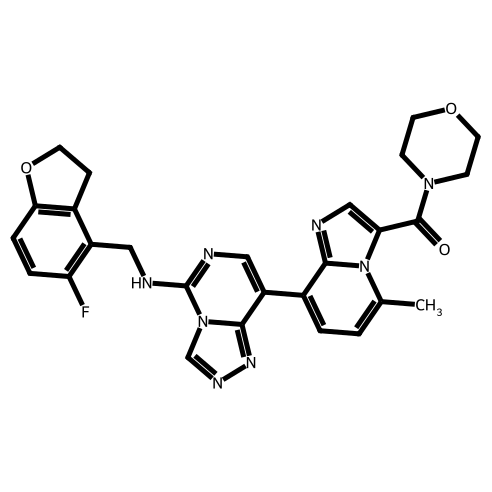 Cc1ccc(-c2cnc(NCc3c(F)ccc4c3CCO4)n3cnnc23)c2ncc(C(=O)N3CCOCC3)n12